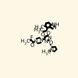 C=C(F)C(=O)N1CCN(c2nc(OC[C@@H]3CCCN3C)nc3c2O[C@H](C)C(c2c(C)ccc4[nH]ncc24)O3)CC1